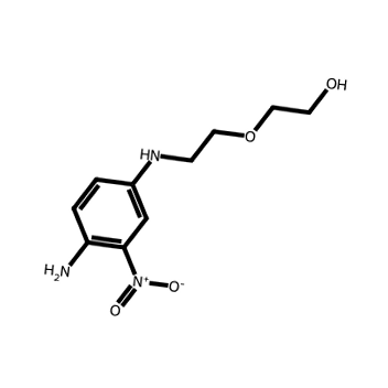 Nc1ccc(NCCOCCO)cc1[N+](=O)[O-]